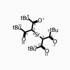 CC(C)(C)C(=O)[CH]([Sr][CH](C(=O)C(C)(C)C)C(=O)C(C)(C)C)C(=O)C(C)(C)C